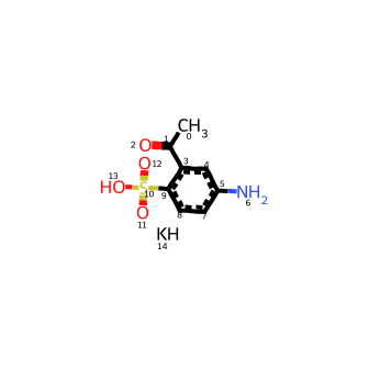 CC(=O)c1cc(N)ccc1S(=O)(=O)O.[KH]